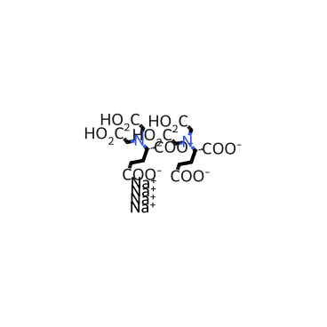 O=C([O-])CC[C@@H](C(=O)[O-])N(CC(=O)O)CC(=O)O.O=C([O-])CC[C@@H](C(=O)[O-])N(CC(=O)O)CC(=O)O.[Na+].[Na+].[Na+].[Na+]